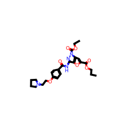 CCCOC(=O)c1cc2c(o1)c(NC(=O)c1ccc(OCCN3CCCC3)cc1)nn2C(=O)OCC